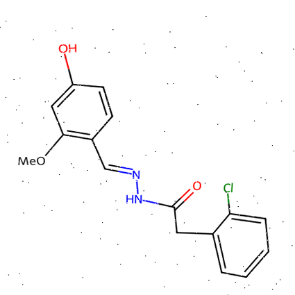 COc1cc(O)ccc1/C=N/NC(=O)Cc1ccccc1Cl